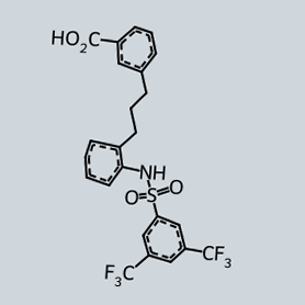 O=C(O)c1cccc(CCCc2ccccc2NS(=O)(=O)c2cc(C(F)(F)F)cc(C(F)(F)F)c2)c1